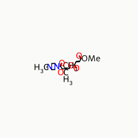 COC(=O)/C=C/C(=O)OCC(C)(C)C(=O)C(=O)N1CCN(C)CC1